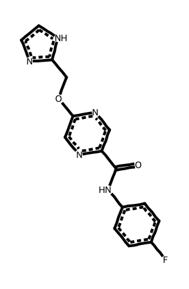 O=C(Nc1ccc(F)cc1)c1cnc(OCc2ncc[nH]2)cn1